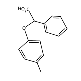 [CH2]c1ccc(OC(C(=O)O)c2ccccc2)cc1